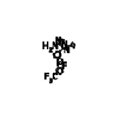 Nc1nccn2c(C3CCC3)nc(-c3cccc(OCc4cc(C(F)(F)F)ccc4F)c3)c12